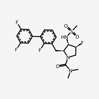 CN(C)C(=O)N1C[C@H](F)[C@H](NS(C)(=O)=O)[C@@H]1Cc1cccc(-c2cc(F)cc(F)c2)c1F